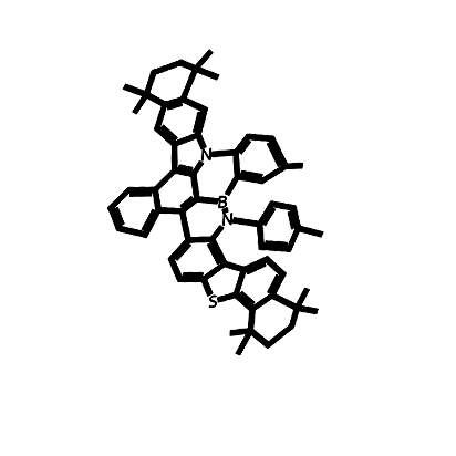 Cc1ccc(N2B3c4cc(C)ccc4-n4c5cc6c(cc5c5c7ccccc7c(c3c54)-c3ccc4sc5c7c(ccc5c4c32)C(C)(C)CCC7(C)C)C(C)(C)CCC6(C)C)cc1